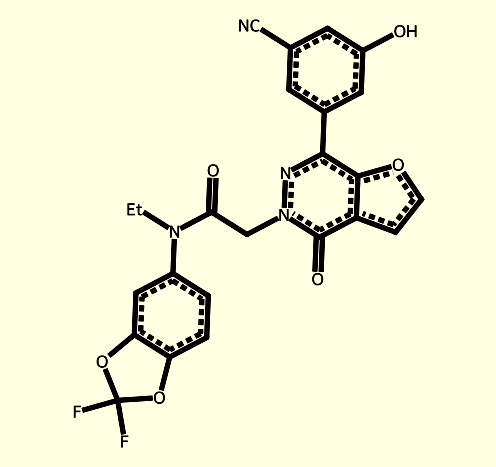 CCN(C(=O)Cn1nc(-c2cc(O)cc(C#N)c2)c2occc2c1=O)c1ccc2c(c1)OC(F)(F)O2